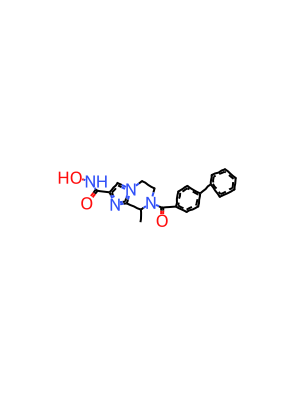 CC1c2nc(C(=O)NO)cn2CCN1C(=O)c1ccc(-c2ccccc2)cc1